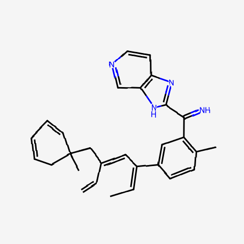 C=C/C(=C\C(=C/C)c1ccc(C)c(C(=N)c2nc3ccncc3[nH]2)c1)CC1(C)C=CC=CC1